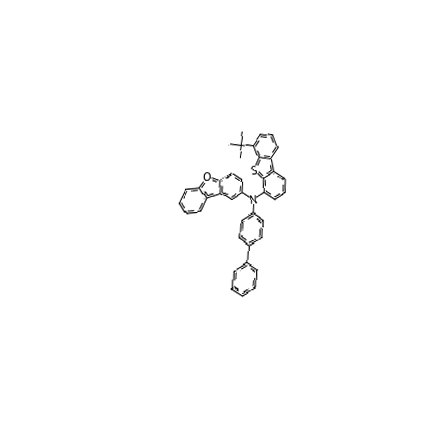 CC(C)(C)c1cccc2c1sc1c(N(c3ccc(-c4ccccc4)cc3)c3ccc4oc5ccccc5c4c3)cccc12